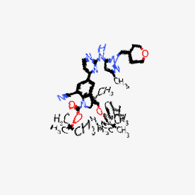 Cc1cc(Nc2nccc(-c3cc(C#N)c4c(c3)[C@@](C)(CO[Si](C)(C)C(C)(C)C)CN4C(=O)OC(C)(C)C)n2)n(CC2CCOCC2)n1